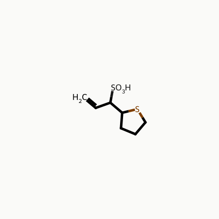 C=CC(C1CCCS1)S(=O)(=O)O